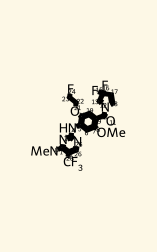 CNc1nc(Nc2cc(OC)c(C(=O)[N+]3=CC(F)(F)C=C3)cc2OCCF)ncc1C(F)(F)F